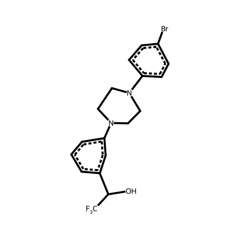 OC(c1cccc(N2CCN(c3ccc(Br)cc3)CC2)c1)C(F)(F)F